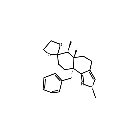 C[C@H]1[C@@H]2CCc3cn(C)nc3[C@@]2(Cc2ccccc2)CCC12OCCO2